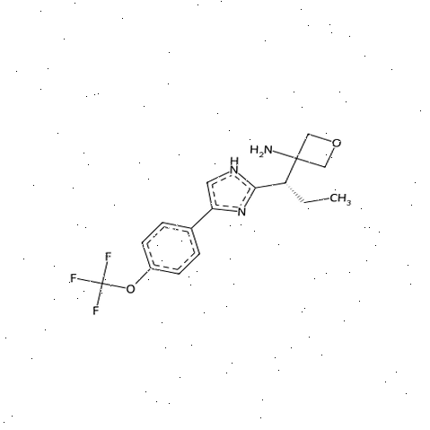 CC[C@H](c1nc(-c2ccc(OC(F)(F)F)cc2)c[nH]1)C1(N)COC1